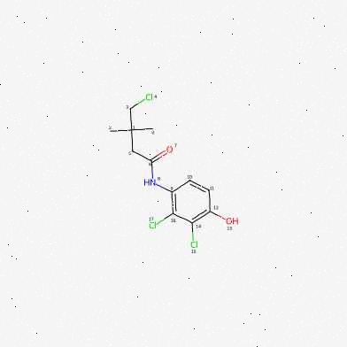 CC(C)(CCl)CC(=O)Nc1ccc(O)c(Cl)c1Cl